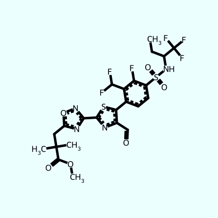 CCC(NS(=O)(=O)c1ccc(-c2sc(-c3noc(CC(C)(C)C(=O)OC)n3)nc2C=O)c(C(F)F)c1F)C(F)(F)F